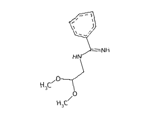 COC(CNC(=N)c1ccccc1)OC